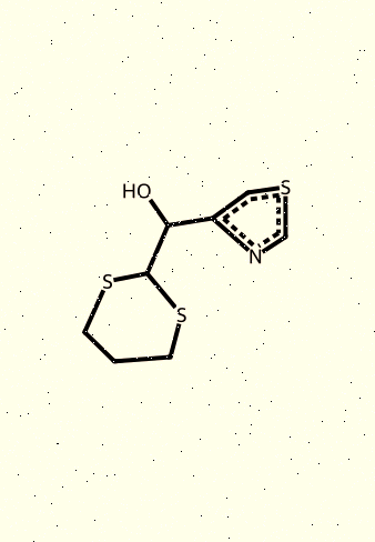 OC(c1cscn1)C1SCCCS1